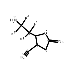 C#CC1CC(=O)OC1C(F)(F)C(N)(F)F